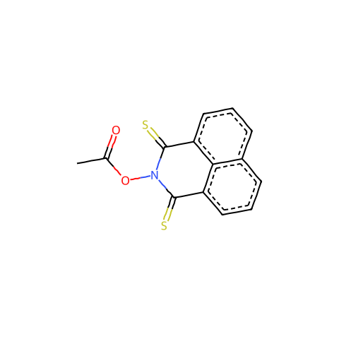 CC(=O)ON1C(=S)c2cccc3cccc(c23)C1=S